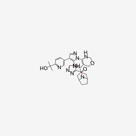 CC(C)(O)c1ccc(-c2cnn3c4c(c(C5CC6CCC(C5)N6C(=O)c5nnc[nH]5)nc23)COCN4)cn1